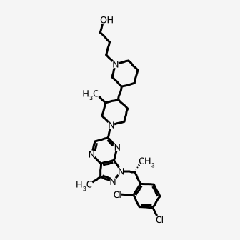 Cc1nn([C@H](C)c2ccc(Cl)cc2Cl)c2nc(N3CCC(C4CCCN(CCCO)C4)C(C)C3)cnc12